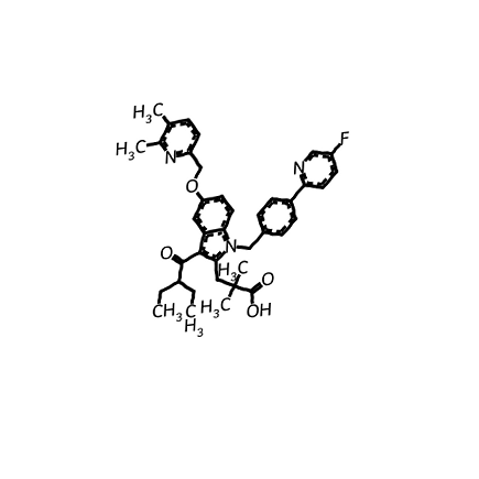 CCC(CC)C(=O)c1c(CC(C)(C)C(=O)O)n(Cc2ccc(-c3ccc(F)cn3)cc2)c2ccc(OCc3ccc(C)c(C)n3)cc12